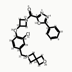 O=C(c1nnc(-c2ccccc2)o1)N1CC(Oc2ccc(CN3CC4(COC4)C3)cc2Cl)C1